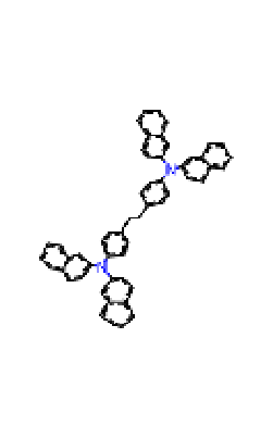 c1ccc2cc(N(c3ccc(CCc4ccc(N(c5ccc6ccccc6c5)c5ccc6ccccc6c5)cc4)cc3)c3ccc4ccccc4c3)ccc2c1